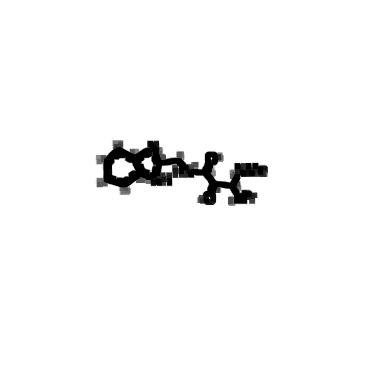 CCCC(NC)C(=O)C(=O)NCc1nc2ccccc2[nH]1